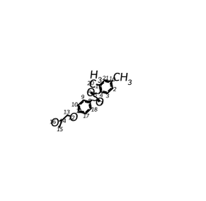 Cc1ccc(S(=O)(=O)c2ccc(OCC3CO3)cc2)c(C)c1